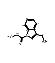 CC(C)(C)OC(=O)n1cc(CC#N)c2ccccc21